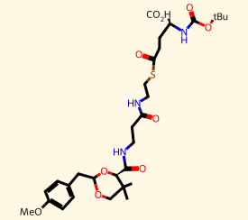 COc1ccc(CC2OCC(C)(C)[C@H](C(=O)NCCC(=O)NCCSC(=O)CC[C@H](NC(=O)OC(C)(C)C)C(=O)O)O2)cc1